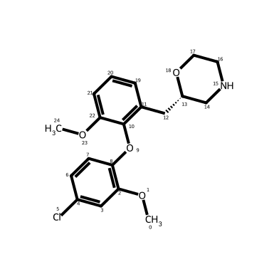 COc1cc(Cl)ccc1Oc1c(C[C@H]2CNCCO2)cccc1OC